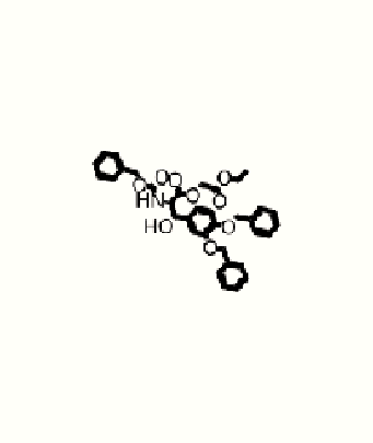 CCOC(=O)COC(=O)[C@@H](NC(=O)OCc1ccccc1)C(O)c1ccc(OCc2ccccc2)c(OCc2ccccc2)c1